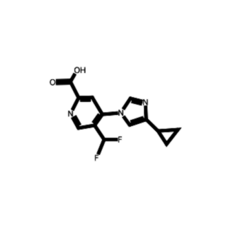 O=C(O)c1cc(-n2cnc(C3CC3)c2)c(C(F)F)cn1